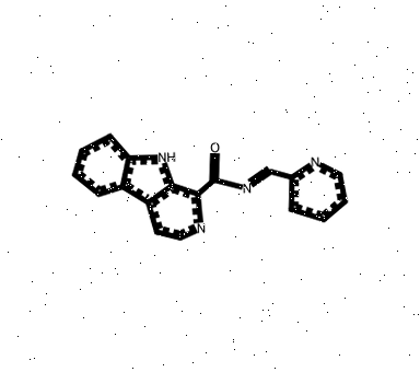 O=C(N=Cc1ccccn1)c1nccc2c1[nH]c1ccccc12